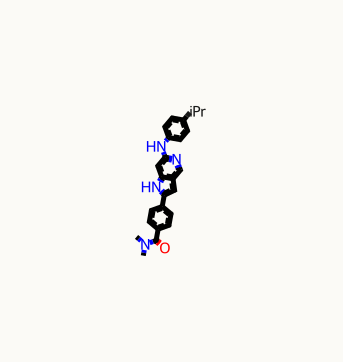 CC(C)c1ccc(Nc2cc3[nH]c(-c4ccc(C(=O)N(C)C)cc4)cc3cn2)cc1